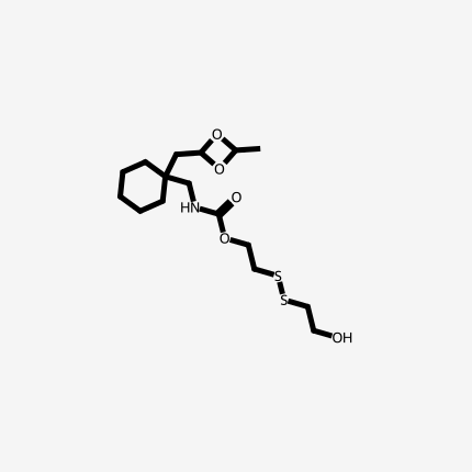 CC1OC(CC2(CNC(=O)OCCSSCCO)CCCCC2)O1